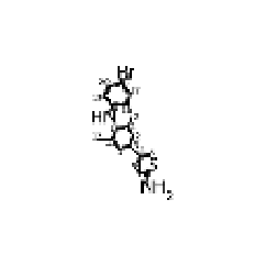 Cc1cc(-c2csc(N)n2)cc(C)c1Nc1ccc(Br)cc1